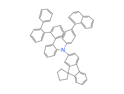 c1ccc(-c2ccccc2-c2ccccc2-c2ccccc2N(c2ccc(-c3cccc4ccccc34)cc2)c2ccc3c(c2)C2(CCCC2)c2ccccc2-3)cc1